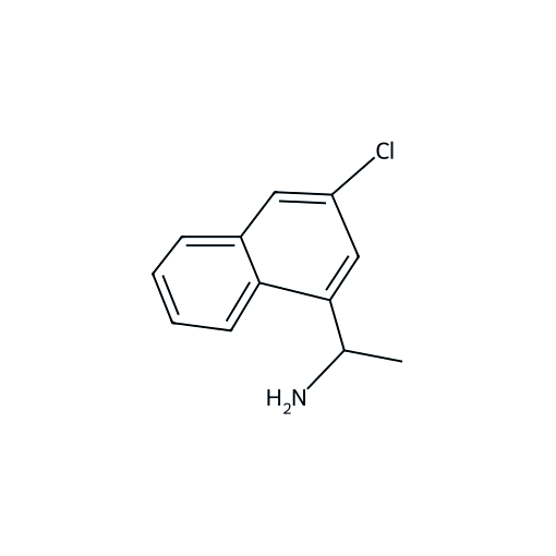 CC(N)c1cc(Cl)cc2ccccc12